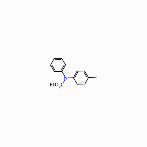 [CH2]COC(=O)N(c1ccccc1)c1ccc(I)cc1